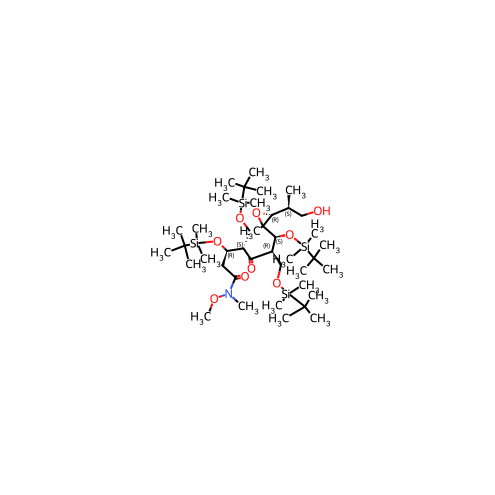 CON(C)C(=O)C[C@@H](O[Si](C)(C)C(C)(C)C)[C@H](CO[Si](C)(C)C(C)(C)C)C(=O)[C@H](CO[Si](C)(C)C(C)(C)C)[C@H](O[Si](C)(C)C(C)(C)C)C1(C)O[C@@H]1[C@@H](C)CO